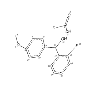 CC(=O)O.COc1ccc(C(O)c2ccccc2F)cc1